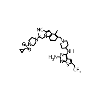 Cc1c(CN2CCC(Nc3nc(N)nc4sc(CC(F)(F)F)cc34)CC2)ccc2c1cc(C#N)n2C[C@H](C)N1CCN(S(=O)(=O)C2CC2)CC1